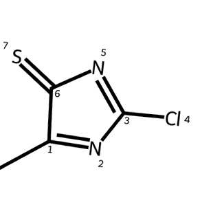 CC1=NC(Cl)=NC1=S